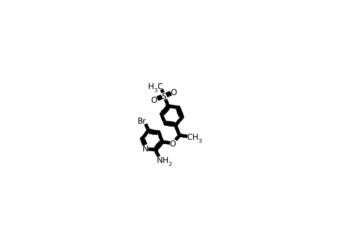 CC(Oc1cc(Br)cnc1N)c1ccc(S(C)(=O)=O)cc1